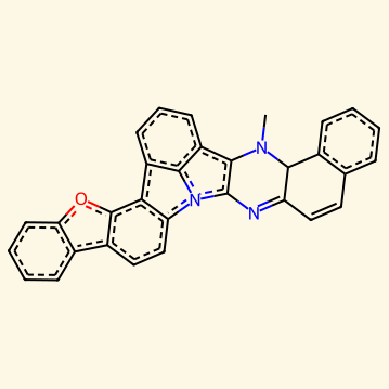 CN1c2c(n3c4ccc5c6ccccc6oc5c4c4cccc2c43)N=C2C=Cc3ccccc3C21